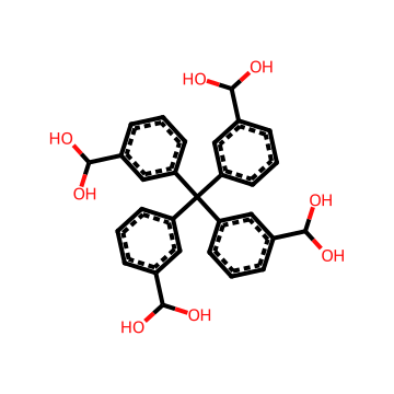 OC(O)c1cccc(C(c2cccc(C(O)O)c2)(c2cccc(C(O)O)c2)c2cccc(C(O)O)c2)c1